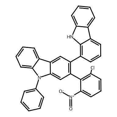 O=[N+]([O-])c1cccc(Cl)c1-c1cc2c(cc1-c1cccc3c1[nH]c1ccccc13)c1ccccc1n2-c1ccccc1